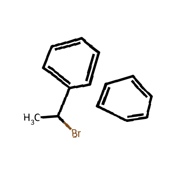 CC(Br)c1ccccc1.c1ccccc1